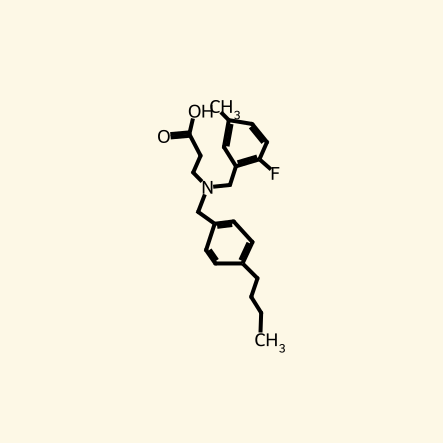 CCCCc1ccc(CN(CCC(=O)O)Cc2cc(C)ccc2F)cc1